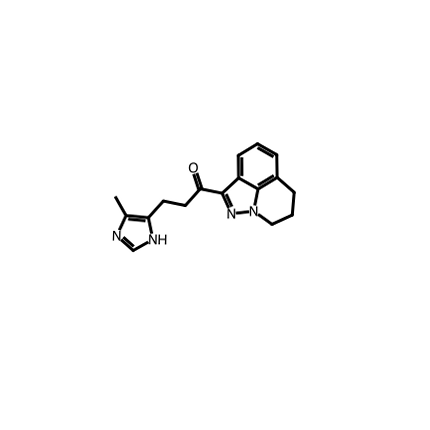 Cc1nc[nH]c1CCC(=O)c1nn2c3c(cccc13)CCC2